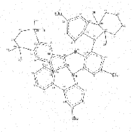 CC(C)(C)c1ccc(N2c3cc(Cl)cc4c3B(c3cc(C(C)(C)C)cc5c3N4C3(C)CCCCC53C)c3c2sc2cc4c(cc32)C(C)(C)CCC4(C)C)c(-c2ccccc2)c1